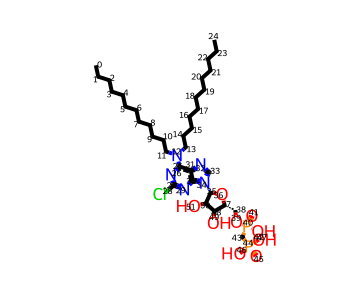 CCCCCCCCCCCCN(CCCCCCCCCCCC)c1nc(Cl)nc2c1ncn2[C@@H]1O[C@H](COP(=O)(O)CP(=O)(O)O)C(O)C1O